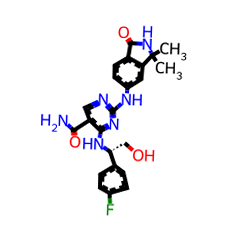 CC1(C)NC(=O)c2ccc(Nc3ncc(C(N)=O)c(N[C@H](CO)c4ccc(F)cc4)n3)cc21